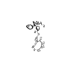 NC(=O)OCCCC1CCCCCC1